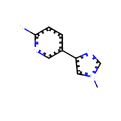 Cn1cnc(-c2ccc(N)nc2)c1